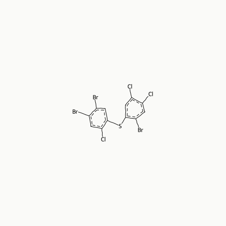 Clc1cc(Br)c(Sc2cc(Br)c(Br)cc2Cl)cc1Cl